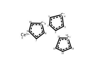 [Ce+3].c1cc[cH-]c1.c1cc[cH-]c1.c1cc[cH-]c1